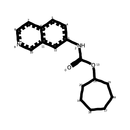 O=C(Nc1ccc2ccncc2c1)OC1CCCCCC1